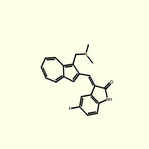 CN(C)Cc1c(/C=C2/C(=O)Nc3ccc(F)cc32)cc2cccccc1-2